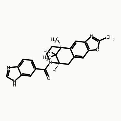 Cc1nc2cc3c(cc2o1)C[C@H]1N(C(=O)c2ccc4nc[nH]c4c2)CC[C@]3(C)C1(C)C